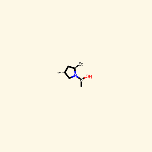 CC[C@@H]1C[C@@H](C)CN1B(C)O